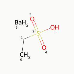 CCS(=O)(=O)O.[BaH2]